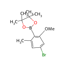 COc1cc(Br)cc(C)c1B1OC(C)(C)C(C)(C)O1